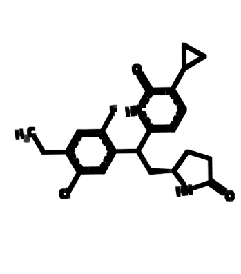 CCc1cc(F)c(C(C[C@H]2CCC(=O)N2)c2ccc(C3CC3)c(=O)[nH]2)cc1Cl